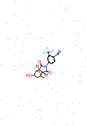 CC12C[C@@H](O)[C@](C)(O1)[C@@H]1C(=O)N(c3ccc(C#N)c(C(F)(F)F)c3)C(=O)[C@@H]12